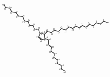 CCCCCCCCCCCCCCCCCCc1n(CCCCCCCCCCCCC)cc[n+]1CCCCCCCCCCC